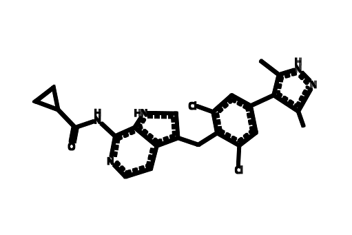 Cc1n[nH]c(C)c1-c1cc(Cl)c(Cc2c[nH]c3c(NC(=O)C4CC4)nccc23)c(Cl)c1